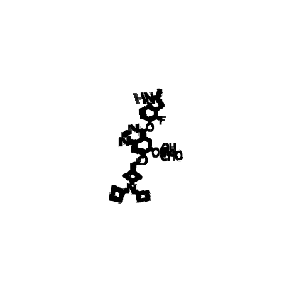 COc1cc2c(Oc3ccc4[nH]c(C)cc4c3F)ncnc2cc1OCC1CC(N(C2CCC2)C2CCC2)C1.O=CO